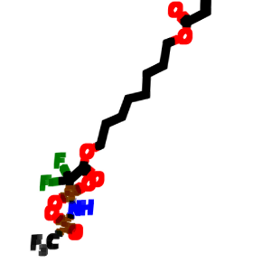 C=CC(=O)OCCCCCCCCOC(=O)C(F)(F)S(=O)(=O)NS(=O)(=O)C(F)(F)F